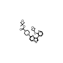 CC1(OC(=O)N2CCN(c3ccn4ncc(-c5cccnc5OC5COC5)c4n3)CC2)COC1